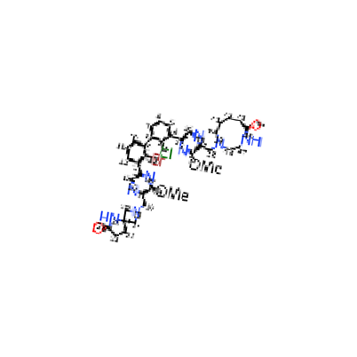 COc1nc(-c2cccc(-c3cccc(-c4cnc(CN5CC6(CCC(=O)N6)C5)c(OC)n4)c3Br)c2Cl)cnc1CN1CCCCC(=O)NCC1